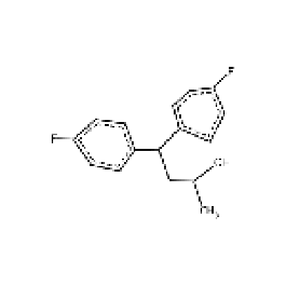 CC(O)CC(c1ccc(F)cc1)c1ccc(F)cc1